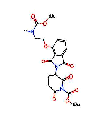 CN(CCOc1cccc2c1C(=O)N(C1CCC(=O)N(C(=O)OC(C)(C)C)C1=O)C2=O)C(=O)OC(C)(C)C